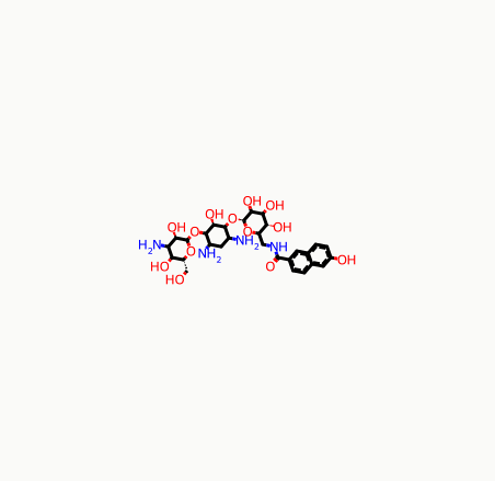 NC1CC(N)C(O[C@H]2OC(CNC(=O)c3ccc4cc(O)ccc4c3)[C@@H](O)C(O)C2O)[C@H](O)C1OC1O[C@H](CO)C(O)C(N)[C@H]1O